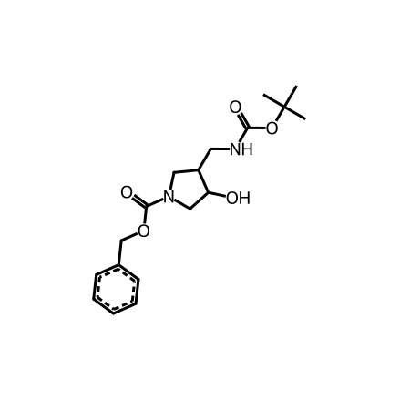 CC(C)(C)OC(=O)NCC1CN(C(=O)OCc2ccccc2)CC1O